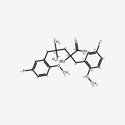 COc1ccc(F)cc1CC(C)(C)CC(O)(Cc1cc(F)ccc1OC)C(=O)O